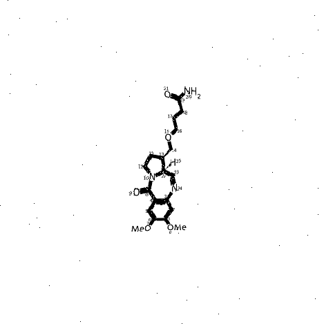 COc1cc2c(cc1OC)C(=O)N1CC[C@@H](COCCCC(N)=O)[C@H]1C=N2